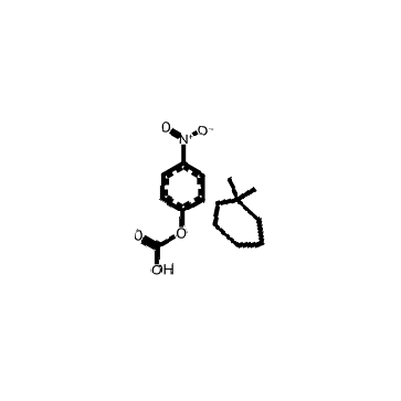 CC1(C)CCCCC1.O=C(O)Oc1ccc([N+](=O)[O-])cc1